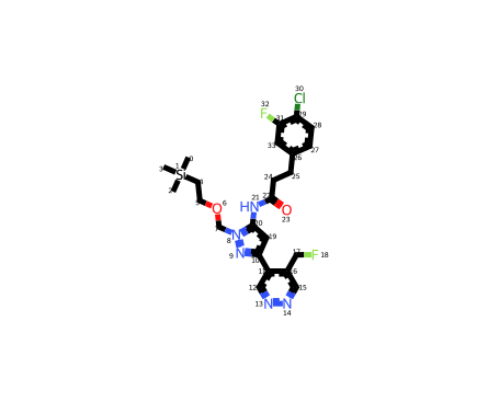 C[Si](C)(C)CCOCn1nc(-c2cnncc2CF)cc1NC(=O)CCc1ccc(Cl)c(F)c1